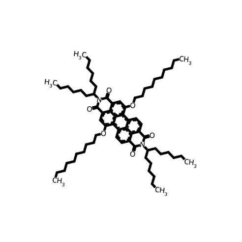 CCCCCCCCCCOc1cc2c3c(cc(OCCCCCCCCCC)c4c5ccc6c7c(ccc(c1c34)c75)C(=O)N(C(CCCCCC)CCCCCC)C6=O)C(=O)N(C(CCCCCC)CCCCCC)C2=O